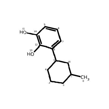 CC1CCCC(c2cccc(O)c2O)C1